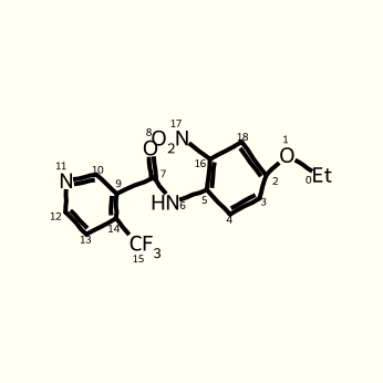 CCOc1ccc(NC(=O)c2cnccc2C(F)(F)F)c([N+](=O)[O-])c1